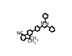 CC1(C)c2cc(-c3ccc(-c4cc(-c5ccccc5)nc(-c5ccccc5)n4)cc3)ccc2-c2c(C#N)cccc21